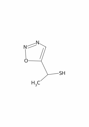 CC(S)c1cnno1